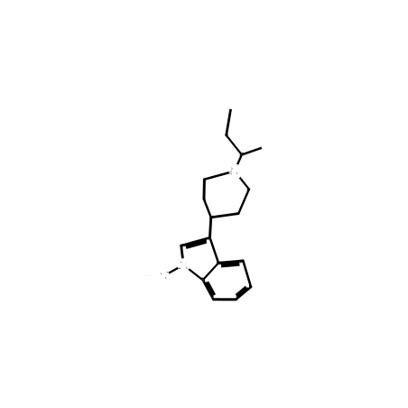 CCC(C)N1CCC(c2cn(N)c3ccccc23)CC1